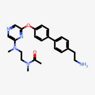 CC(=O)N(C)CCN(C)c1cncc(Oc2ccc(-c3ccc(CCN)cc3)cc2)n1